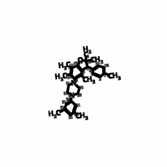 Cc1ccc(C2c3c(C)c(N4CCN(c5cc(C)cc(C)c5)CC4)c(C)c(C)c3OC2(C)C)cc1